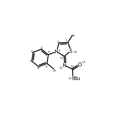 Cc1cn(-c2ccccc2C)c(=NC(=O)C(C)(C)C)s1